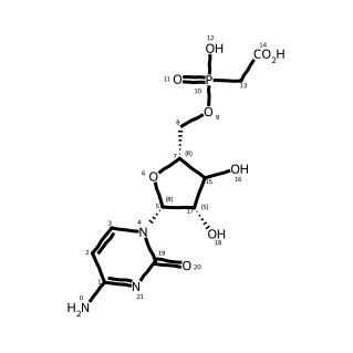 Nc1ccn([C@@H]2O[C@H](COP(=O)(O)CC(=O)O)C(O)[C@@H]2O)c(=O)n1